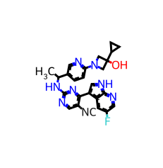 [C-]#[N+]c1cnc(NC(C)c2ccc(N3CC(O)(C4CC4)C3)nc2)nc1-c1c[nH]c2ncc(F)cc12